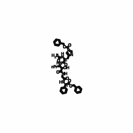 BC(=O)N[C@@H](Cc1cn(C(=O)OCc2ccccc2)cn1)C(=O)NC(CCC)C(O)C(=O)NCC(=O)N[C@H](C(=O)OCc1ccccc1)c1ccccc1